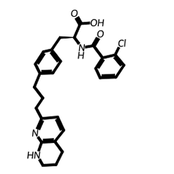 O=C(N[C@@H](Cc1ccc(CCCc2ccc3c(n2)NCCC3)cc1)C(=O)O)c1ccccc1Cl